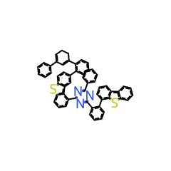 C1=C(c2ccccc2)C=C(c2ccccc2-c2ccc3sc4cccc(-c5nc(-c6ccccc6)nc(-c6ccccc6-c6cccc7c6sc6ccccc67)n5)c4c3c2)CC1